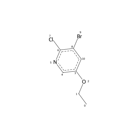 CCOc1cnc(Cl)c(Br)c1